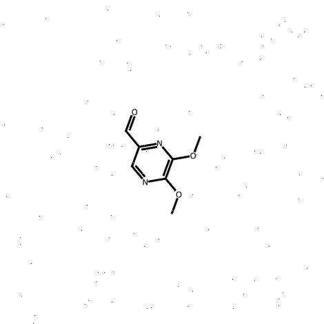 COc1ncc(C=O)nc1OC